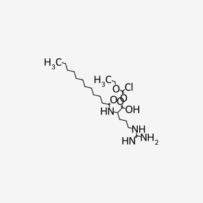 CCCCCCCCCCCC(=O)NC(CCCNC(=N)N)C(=O)O.CCOC(=O)Cl